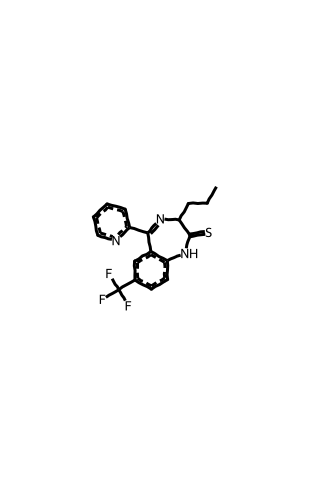 CCCC1N=C(c2ccccn2)c2cc(C(F)(F)F)ccc2NC1=S